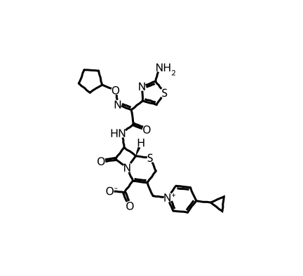 Nc1nc(C(=NOC2CCCC2)C(=O)NC2C(=O)N3C(C(=O)[O-])=C(C[n+]4ccc(C5CC5)cc4)CS[C@@H]23)cs1